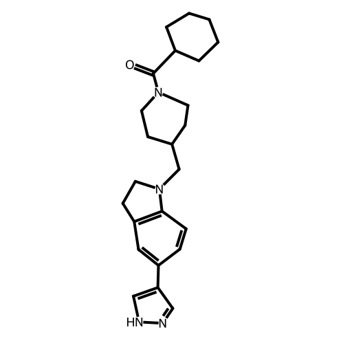 O=C(C1CCCCC1)N1CCC(CN2CCc3cc(-c4cn[nH]c4)ccc32)CC1